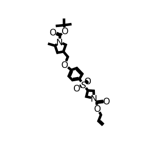 C=CCOC(=O)N1CC(S(=O)(=O)c2ccc(OCC3CC(C)N(C(=O)OC(C)(C)C)C3)cc2)C1